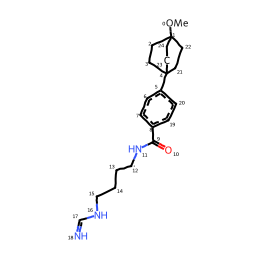 COC12CCC(c3ccc(C(=O)N[CH]CCCNC=N)cc3)(CC1)CC2